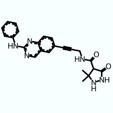 CC1(C)NNC(=O)C1C(=O)NCC#Cc1ccc2nc(Nc3ccccc3)ncc2c1